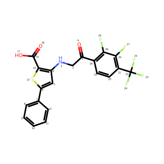 O=C(CNc1cc(-c2ccccc2)sc1C(=O)O)c1ccc(C(F)(F)F)c(F)c1F